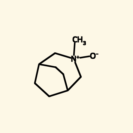 C[N+]1([O-])CC2CCC(CC2)C1